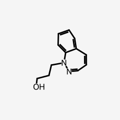 OCCCN1N=CC=Cc2ccccc21